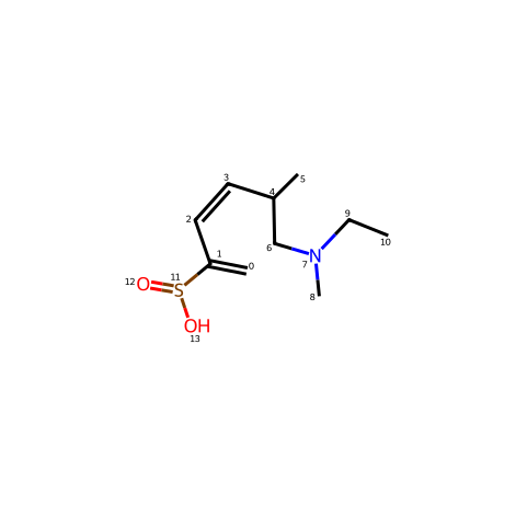 C=C(/C=C\C(C)CN(C)CC)S(=O)O